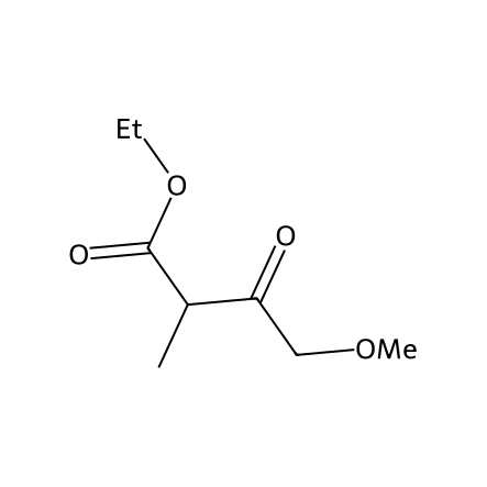 CCOC(=O)C(C)C(=O)COC